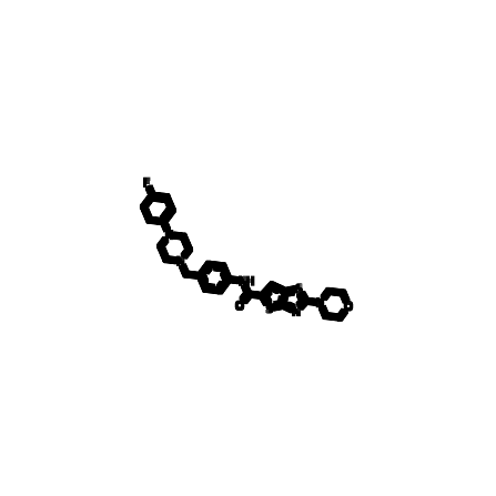 O=C(Nc1ccc(CN2CCN(C3=CC=C(F)CC3)CC2)cc1)c1cc2sc(N3CCOCC3)nc2s1